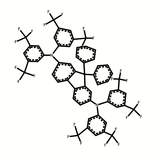 FC(F)(F)c1cc(N(c2cc(C(F)(F)F)cc(C(F)(F)F)c2)c2ccc3c(c2)C(c2ccccc2)(c2ccccc2)c2cc(N(c4cc(C(F)(F)F)cc(C(F)(F)F)c4)c4cc(C(F)(F)F)cc(C(F)(F)F)c4)ccc2-3)cc(C(F)(F)F)c1